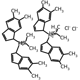 Cc1cc2c(cc1C)[CH]([Hf+]([CH]1C=Cc3cc(C)c(C)cc31)[SiH](C)C)C=C2.Cc1cc2c(cc1C)[CH]([Hf+]([CH]1C=Cc3cc(C)c(C)cc31)[SiH](C)C)C=C2.[Cl-].[Cl-]